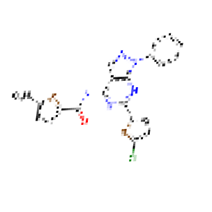 O=C(Nc1nc(-c2ccc(Cl)s2)nc2c1cnn2-c1ccccc1)c1ccc([N+](=O)[O-])s1